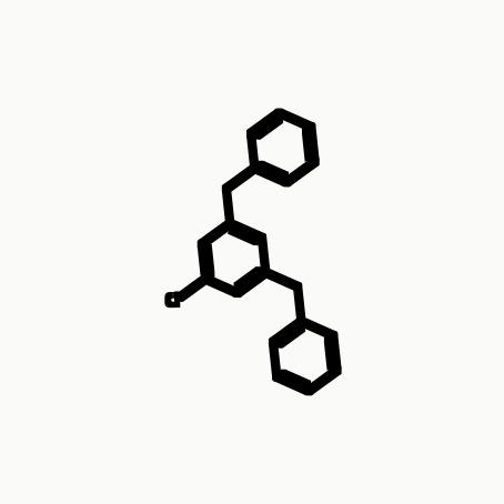 Clc1cc(Cc2ccccc2)cc(Cc2ccccc2)c1